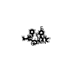 Cc1nc2nc(C3=CC(c4cc(C5CC5)nn4Cc4ccccc4)OCC3)nc(-c3ccc(F)cc3F)c2nc1C